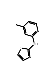 Cc1ccnc(Nc2nccs2)c1